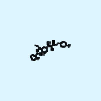 CCOc1cc(N(S)C(=O)NCCc2ccc(F)cc2)ccc1NC(=O)c1ccccc1F